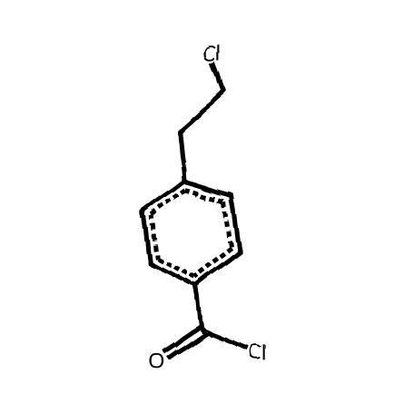 O=C(Cl)c1ccc(CCCl)cc1